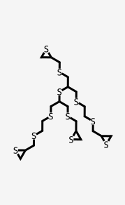 C(CSCC(CSCC1CS1)SC(CSCCSCC1CS1)CSCC1CS1)SCC1CS1